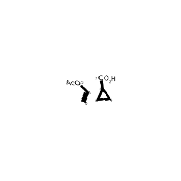 C=COC(C)=O.O=C(O)C1CC1